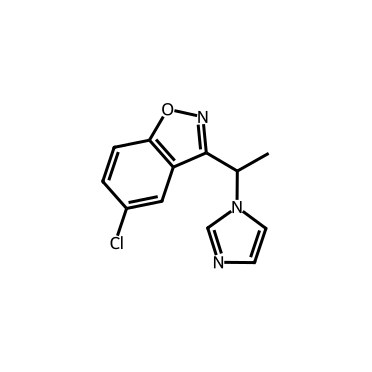 CC(c1noc2ccc(Cl)cc12)n1ccnc1